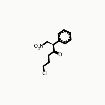 O=C(CCCCl)[C@@H](C[N+](=O)[O-])c1ccccc1